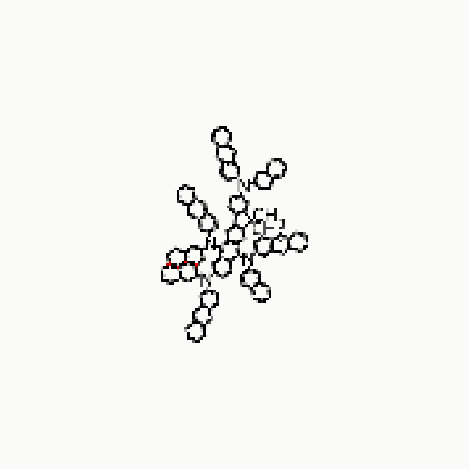 CC1(C)c2cc(N(c3ccc4ccccc4c3)c3ccc4cc5ccccc5cc4c3)ccc2-c2cc3c(N(c4ccc5ccccc5c4)c4ccc5cc6ccccc6cc5c4)c4cc(N(c5ccc6ccccc6c5)c5ccc6cc7ccccc7cc6c5)ccc4c(N(c4ccc5ccccc5c4)c4ccc5cc6ccccc6cc5c4)c3cc21